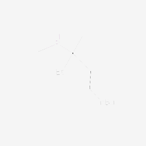 CCCCCCC(C)(CC)PC